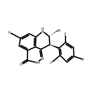 CC(C)[C@H]1Nc2cc(F)cc3c(=O)[nH]nc(c23)[C@@H]1c1c(F)cc(F)cc1F